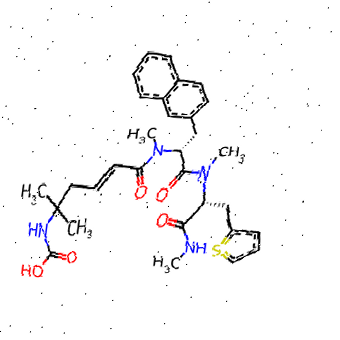 CNC(=O)[C@@H](Cc1cccs1)N(C)C(=O)[C@@H](Cc1ccc2ccccc2c1)N(C)C(=O)C=CCC(C)(C)NC(=O)O